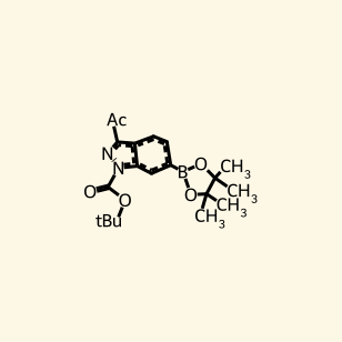 CC(=O)c1nn(C(=O)OC(C)(C)C)c2cc(B3OC(C)(C)C(C)(C)O3)ccc12